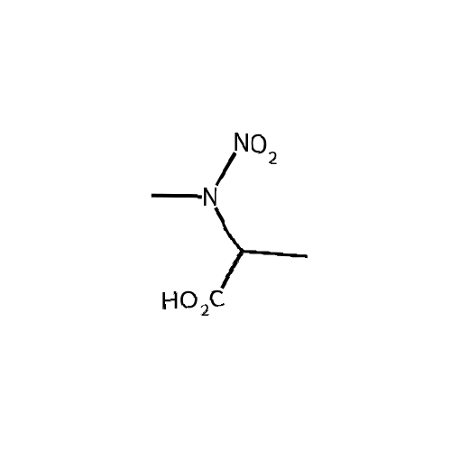 CC(C(=O)O)N(C)[N+](=O)[O-]